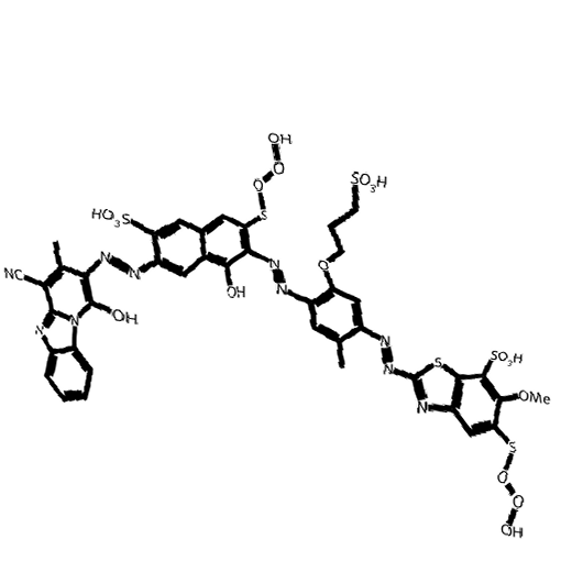 COc1c(SOOO)cc2nc(N=Nc3cc(OCCCS(=O)(=O)O)c(N=Nc4c(SOOO)cc5cc(S(=O)(=O)O)c(N=Nc6c(C)c(C#N)c7nc8ccccc8n7c6O)cc5c4O)cc3C)sc2c1S(=O)(=O)O